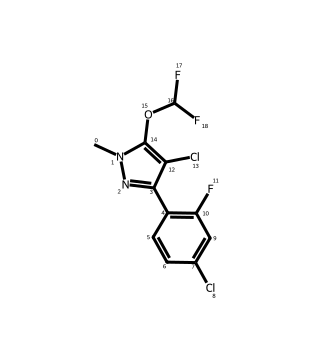 Cn1nc(-c2ccc(Cl)cc2F)c(Cl)c1OC(F)F